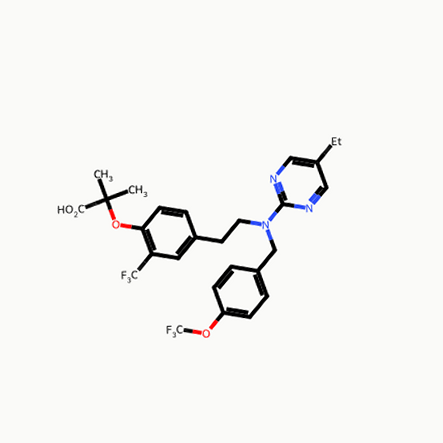 CCc1cnc(N(CCc2ccc(OC(C)(C)C(=O)O)c(C(F)(F)F)c2)Cc2ccc(OC(F)(F)F)cc2)nc1